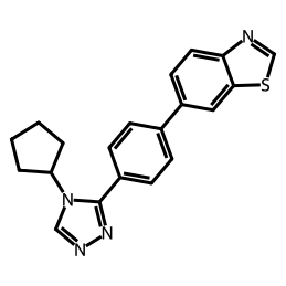 c1nc2ccc(-c3ccc(-c4nncn4C4CCCC4)cc3)cc2s1